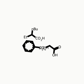 CCC(=O)O.CCCCC(CC)C(=O)O.O=C(O)c1ccccc1